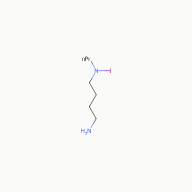 CCCN(I)CCCCN